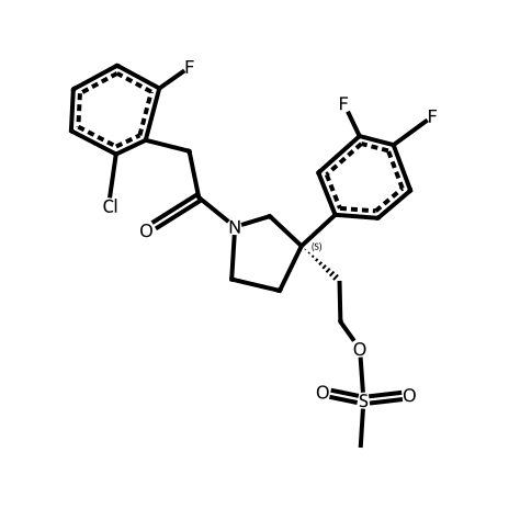 CS(=O)(=O)OCC[C@]1(c2ccc(F)c(F)c2)CCN(C(=O)Cc2c(F)cccc2Cl)C1